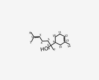 CC(C)=CCCC(C)(O)C1CCC=C(C)C1